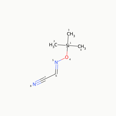 C[Si](C)(C)ON=CC#N